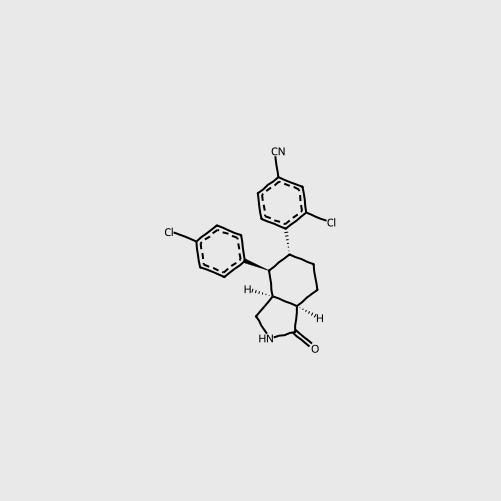 N#Cc1ccc([C@@H]2CC[C@H]3C(=O)NC[C@H]3[C@H]2c2ccc(Cl)cc2)c(Cl)c1